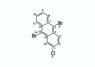 Clc1ccc2c(Br)c3ccccc3c(Br)c2c1